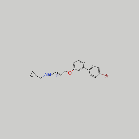 Brc1ccc(-c2[c]ccc(OC/C=C/CNCC3CC3)c2)cc1